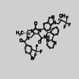 C[C@@H]1Cn2c(c(C(=O)NCc3ccccc3-c3ncccn3)n(-c3ccc4c(cnn4C[C@H](O)C(F)(F)F)c3)c2=O)CN1C(=O)c1ccc(Br)c(C(F)(F)F)c1